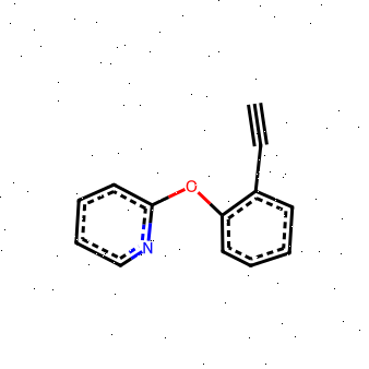 C#Cc1ccccc1Oc1ccccn1